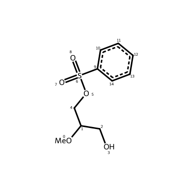 COC(CO)COS(=O)(=O)c1ccccc1